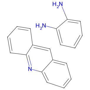 Nc1ccccc1N.c1ccc2nc3ccccc3cc2c1